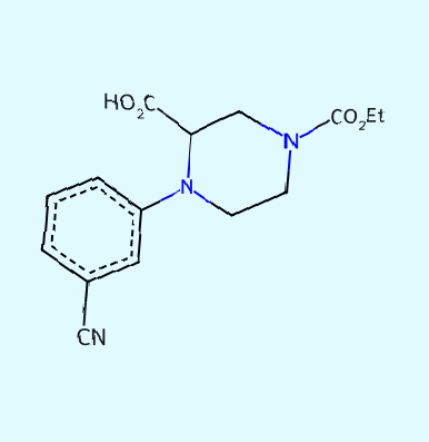 CCOC(=O)N1CCN(c2cccc(C#N)c2)C(C(=O)O)C1